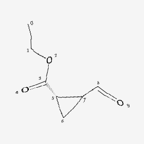 CCOC(=O)[C@H]1CC1C=O